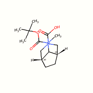 CN(C(=O)OC(C)(C)C)C1[C@@H]2CC[C@H]1CN(C(=O)O)C2